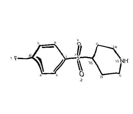 O=S(=O)(c1ccc(F)cc1)C1CCNCC1